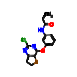 C=CC(=O)Nc1cccc(Oc2nc(Cl)nc3c2SCC3)c1